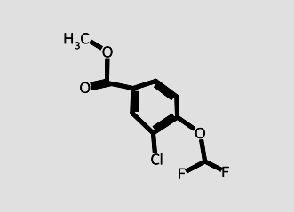 COC(=O)c1ccc(OC(F)F)c(Cl)c1